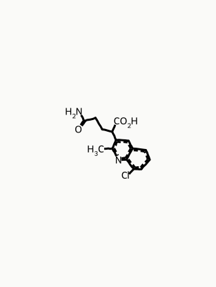 Cc1nc2c(Cl)cccc2cc1C(CCC(N)=O)C(=O)O